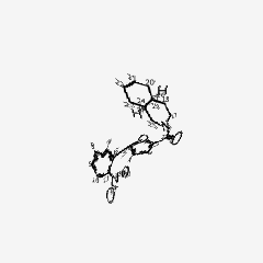 O=C(c1ccc(-c2ccccc2[N+](=O)[O-])o1)N1CC[C@@H]2CCCC[C@@H]2C1